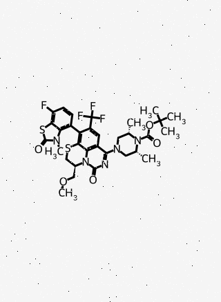 COC[C@H]1CSc2c(-c3ccc(F)c4sc(=O)n(C)c34)c(C(F)(F)F)cc3c(N4C[C@@H](C)N(C(=O)OC(C)(C)C)[C@@H](C)C4)nc(=O)n1c23